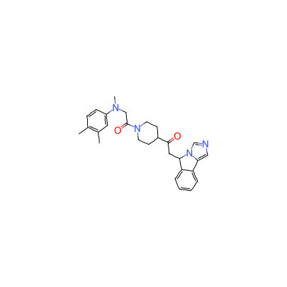 Cc1ccc(N(C)CC(=O)N2CCC(C(=O)CC3c4ccccc4-c4cncn43)CC2)cc1C